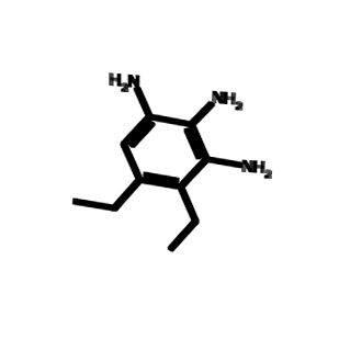 CCc1cc(N)c(N)c(N)c1CC